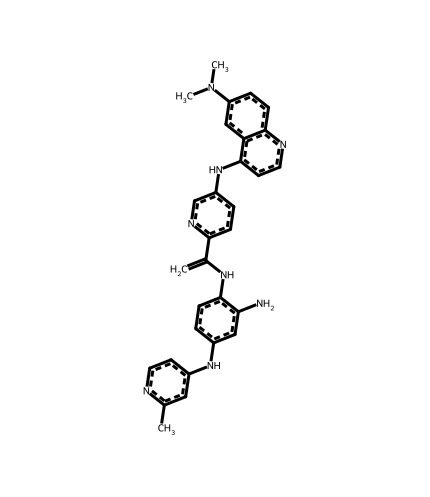 C=C(Nc1ccc(Nc2ccnc(C)c2)cc1N)c1ccc(Nc2ccnc3ccc(N(C)C)cc23)cn1